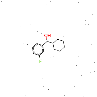 OC(c1cccc(F)c1)C1CCCCC1